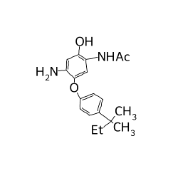 CCC(C)(C)c1ccc(Oc2cc(NC(C)=O)c(O)cc2N)cc1